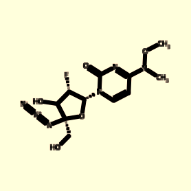 CON(C)c1ccn([C@@H]2O[C@@](CO)(N=[N+]=[N-])C(O)[C@@H]2F)c(=O)n1